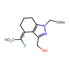 COCn1nc(CO)c2c1CCC/C2=C(/F)C(=O)O